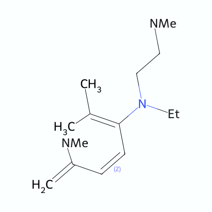 C=C(/C=C\C(=C(C)C)N(CC)CCNC)NC